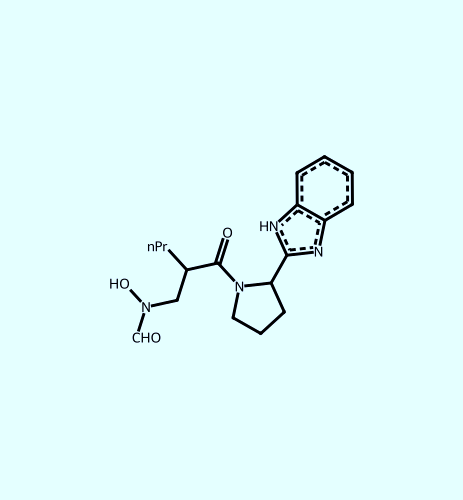 CCCC(CN(O)C=O)C(=O)N1CCCC1c1nc2ccccc2[nH]1